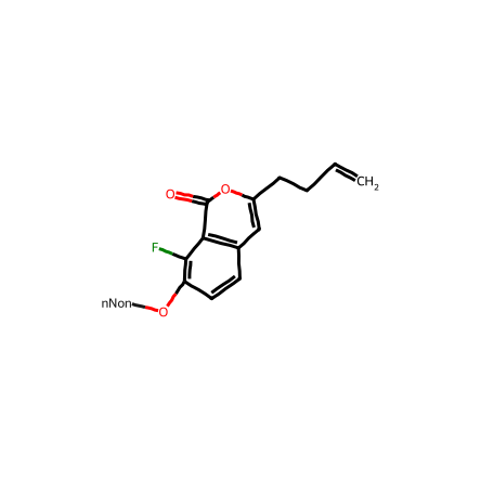 C=CCCc1cc2ccc(OCCCCCCCCC)c(F)c2c(=O)o1